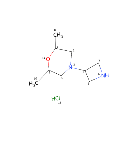 CC1CN(C2CNC2)CC(C)O1.Cl